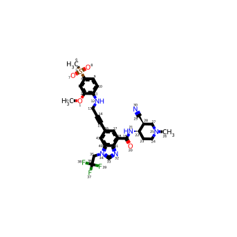 COc1cc(S(C)(=O)=O)ccc1NCC#Cc1cc(C(=O)N[C@H]2CCN(C)C[C@@H]2C#N)c2ncn(CC(F)(F)F)c2c1